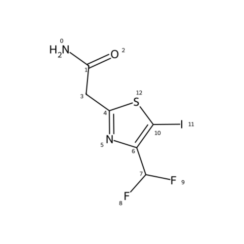 NC(=O)Cc1nc(C(F)F)c(I)s1